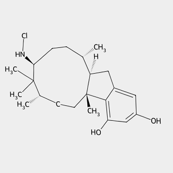 C[C@H]1CC[C@H](NCl)C(C)(C)[C@@H](C)CC[C@@]2(C)c3c(O)cc(O)cc3C[C@H]12